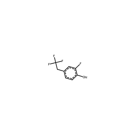 Oc1ccc(CC(F)(F)F)cc1F